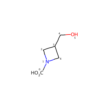 O=C(O)N1CC(CO)C1